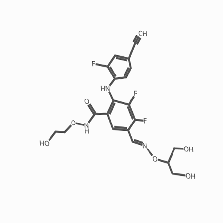 C#Cc1ccc(Nc2c(C(=O)NOCCO)cc(/C=N/OC(CO)CO)c(F)c2F)c(F)c1